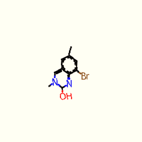 Cc1cc(Br)c2c(c1)=CN(C)C(O)N=2